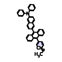 CC=C/C=C\C(=C/C)c1c2ccccc2c(-c2ccc3cc(N(c4ccccc4)c4ccccc4)ccc3c2)c2ccccc12